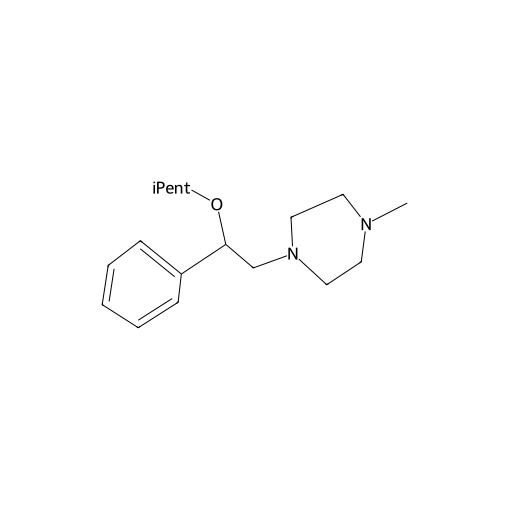 CCCC(C)OC(CN1CCN(C)CC1)c1ccccc1